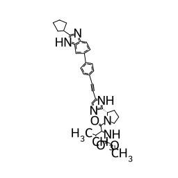 COC(=O)N[C@H](C(=O)N1CCC[C@H]1c1ncc(C#Cc2ccc(-c3ccc4nc(C5CCCC5)[nH]c4c3)cc2)[nH]1)C(C)C